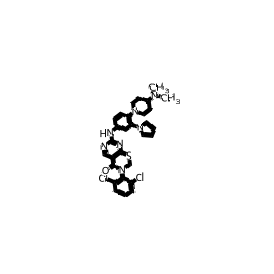 CN(C)C1CCN(c2ccc(Nc3ncc4c(n3)SCN(c3c(Cl)cccc3Cl)C4=O)cc2-n2cccc2)CC1